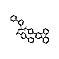 C=C(/C=C(\N=C(/C)c1ccc(-c2ccc3c4ccccc4c4ccccc4c3c2)cc1)c1cccc(-c2cccnc2)c1)c1ccc(-c2ccccc2)cc1